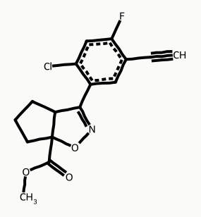 C#Cc1cc(C2=NOC3(C(=O)OC)CCCC23)c(Cl)cc1F